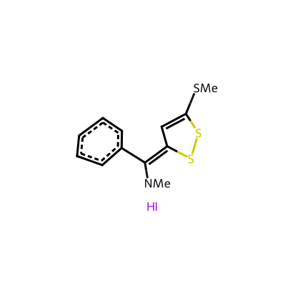 CN/C(=C1/C=C(SC)SS1)c1ccccc1.I